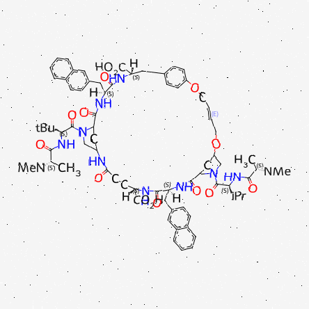 CN[C@@H](C)C(=O)N[C@H](C(=O)N1CC2CC1C(=O)N[C@@H](Cc1ccc3ccccc3c1)C(=O)N[C@H](C(=O)O)CCC(=O)NC1CC(C(=O)N[C@@H](Cc3ccc4ccccc4c3)C(=O)N[C@H](C(=O)O)Cc3ccc(cc3)OC/C=C/CO2)N(C(=O)[C@@H](NC(=O)[C@H](C)NC)C(C)(C)C)C1)C(C)C